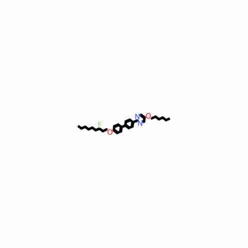 CCCCCCOc1cnc(-c2ccc(-c3ccc(OCCC(F)CCCCCC)cc3)cc2)nc1